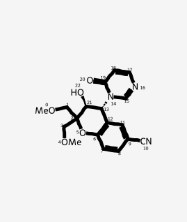 COCC1(COC)Oc2ccc(C#N)cc2[C@@H](n2cnccc2=O)[C@@H]1O